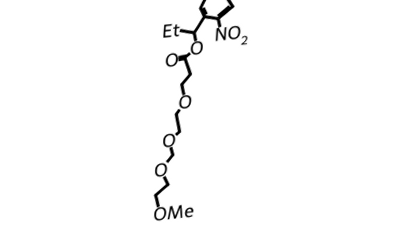 CCC(OC(=O)CCOCCOCOCCOC)c1ccccc1[N+](=O)[O-]